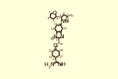 Cc1cc(-c2ccco2)n(-c2ccc3c(c2)nc(COc2ccc(C(=N)N)cc2)n3C)n1